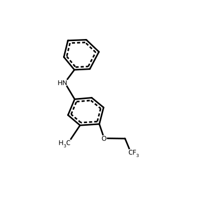 Cc1cc(Nc2ccccc2)ccc1OCC(F)(F)F